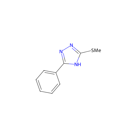 [CH2]Sc1nnc(-c2ccccc2)[nH]1